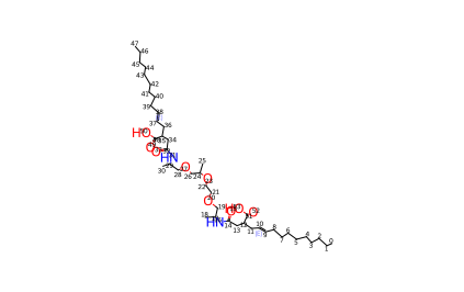 CCCCCCCCC/C=C/CC(CC(=O)NC(C)COCCOC(C)COCC(C)NC(=O)CC(C/C=C/CCCCCCCCC)C(=O)O)C(=O)O